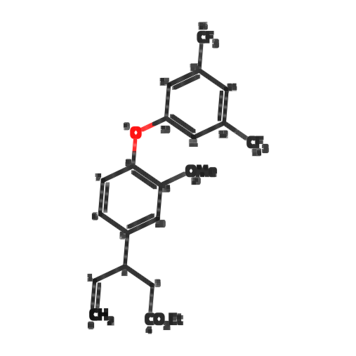 C=CC(CC(=O)OCC)c1ccc(Oc2cc(C(F)(F)F)cc(C(F)(F)F)c2)c(OC)c1